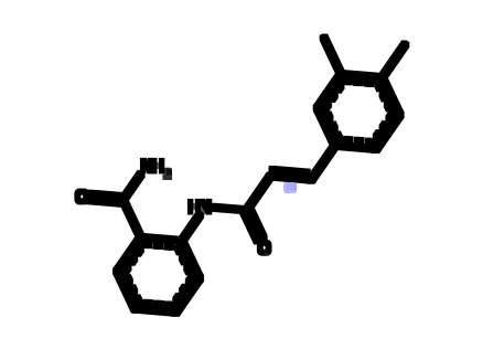 Cc1ccc(/C=C/C(=O)Nc2ccccc2C(N)=O)cc1C